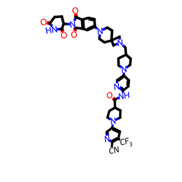 N#Cc1ncc(N2CCC(C(=O)Nc3ccc(N4CCC(CN5CC6(CCN(c7ccc8c(c7)C(=O)N(C7CCC(=O)NC7=O)C8=O)CC6)C5)CC4)cn3)CC2)cc1C(F)(F)F